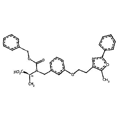 Cc1oc(-c2ccccc2)nc1CCOc1cccc(CN(C(=O)OCc2ccccc2)[C@@H](C)C(=O)O)c1